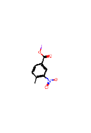 Cc1ccc(C(=O)OI)cc1[N+](=O)[O-]